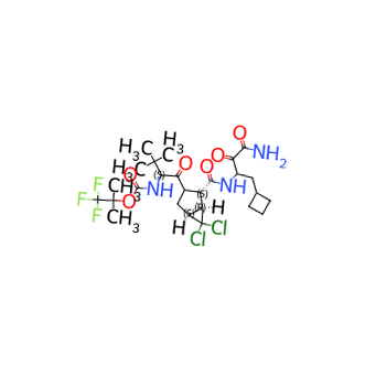 CC(C)(C)[C@H](NC(=O)OC(C)(C)C(F)(F)F)C(=O)C1C[C@H]2[C@@H]([C@H]1C(=O)NC(CC1CCC1)C(=O)C(N)=O)C2(Cl)Cl